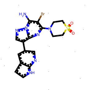 Nc1c(Br)c(N2CCS(=O)(=O)CC2)nc2c(-c3cnc4[nH]ccc4c3)cnn12